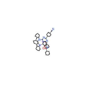 N#Cc1ccc(-c2nc(-c3ccccc3)nc(-n3c4ccccc4c4ccc5c6ccccc6n(-c6cccc7nc(-c8ccccc8)oc67)c5c43)n2)cc1